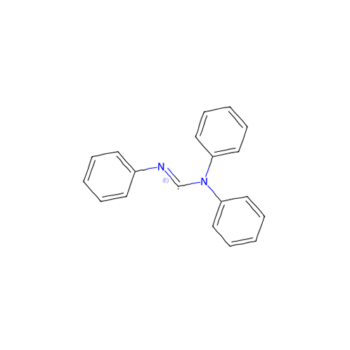 [C](=N\c1ccccc1)/N(c1ccccc1)c1ccccc1